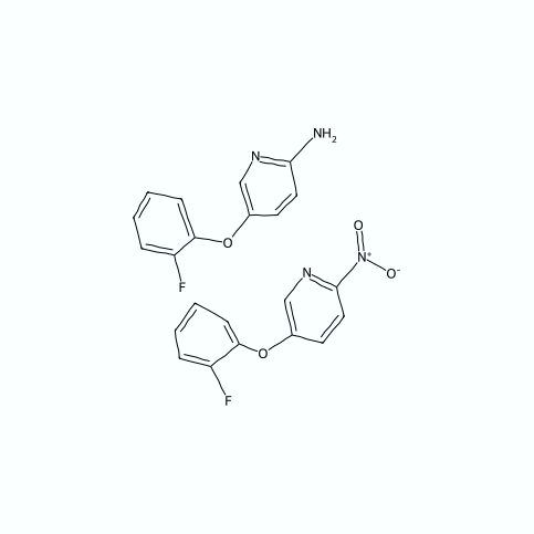 Nc1ccc(Oc2ccccc2F)cn1.O=[N+]([O-])c1ccc(Oc2ccccc2F)cn1